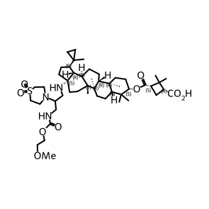 COCCOC(=O)NCC(CN[C@]12CC[C@@H](C3(C)CC3)[C@@H]1[C@H]1CC[C@@H]3[C@@]4(C)CC[C@H](OC(=O)[C@H]5C[C@@H](C(=O)O)C5(C)C)C(C)(C)[C@@H]4CC[C@@]3(C)[C@]1(C)CC2)N1CCS(=O)(=O)CC1